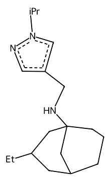 CCC1CC2CCCC(NCc3cnn(C(C)C)c3)(C1)C2